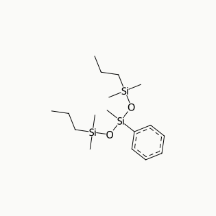 CCC[Si](C)(C)O[Si](C)(O[Si](C)(C)CCC)c1ccccc1